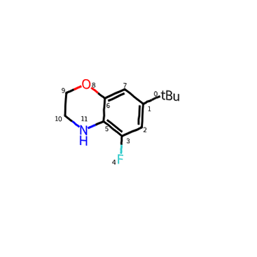 CC(C)(C)c1cc(F)c2c(c1)OCCN2